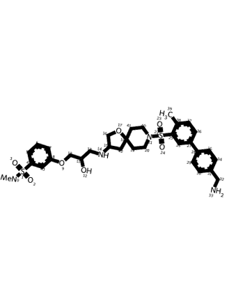 CNS(=O)(=O)c1cccc(OCC(O)CNC2COC3(CCN(S(=O)(=O)c4cc(-c5ccc(CN)cc5)ccc4C)CC3)C2)c1